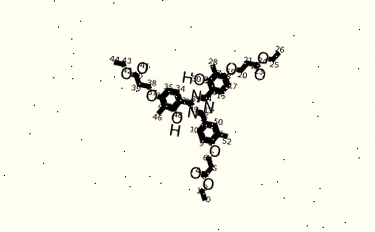 CCOC(=O)CCOc1ccc(-c2nc(-c3ccc(OCCC(=O)OCC)c(C)c3O)nc(-c3ccc(OCCC(=O)OCC)c(C)c3O)n2)cc1C